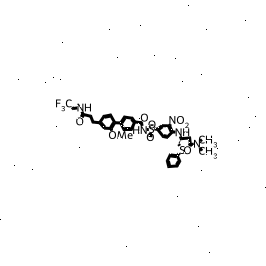 COc1cc(CCC(=O)NCC(F)(F)F)ccc1-c1ccc(C(=O)NS(=O)(=O)c2ccc(N[C@@H](CSc3ccccc3)CC(=O)N(C)C)c([N+](=O)[O-])c2)cc1